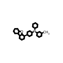 Cc1cccc(N(c2ccccc2)c2ccc(-c3cccc4c3oc3ccccc34)cc2)c1